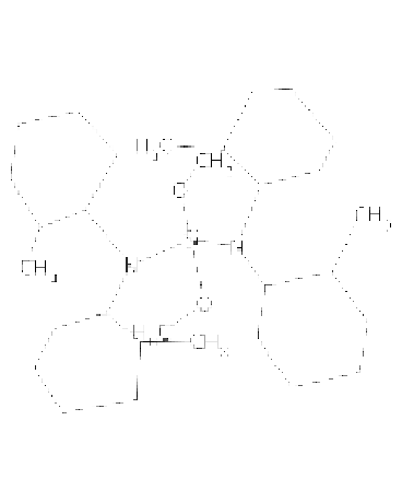 CO[Si](OC)(N(C1CCCCC1C)C1CCCCC1C)N(C1CCCCC1C)C1CCCCC1C